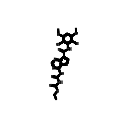 CCOC(=O)NC(=S)Nc1ncnc2c(C(=O)Nc3c(Cl)c(OC)cc(OC)c3Cl)csc12